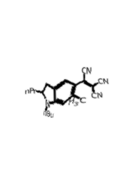 CCCCN1c2cc(C)c(C(C#N)=C(C#N)C#N)cc2CC1CCC